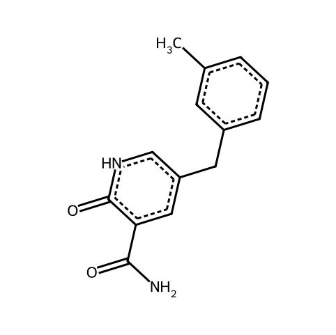 Cc1cccc(Cc2c[nH]c(=O)c(C(N)=O)c2)c1